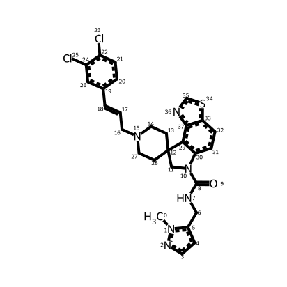 Cn1nccc1CNC(=O)N1CC2(CCN(C/C=C/c3ccc(Cl)c(Cl)c3)CC2)c2c1ccc1scnc21